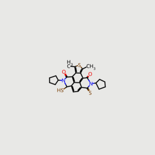 Cc1sc(C)c2c3c4c(ccc5c4c(c12)C(=O)N(C1CCCC1)C5=S)C(S)N(C1CCCC1)C3=O